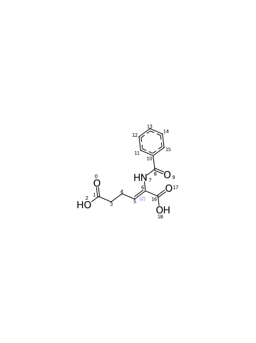 O=C(O)CC/C=C(\NC(=O)c1ccccc1)C(=O)O